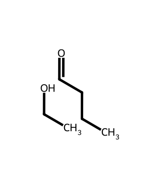 CCCC=O.CCO